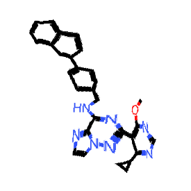 COc1ncnc(C2CC2)c1-c1nc(NCc2ccc(-c3ccc4ccccc4c3)cc2)c2nccn2n1